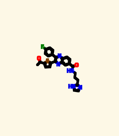 CC(=O)c1ccc(-c2nc3cc(C(=O)NCCCc4ncc[nH]4)ccc3nc2-c2ccc(F)cc2)s1